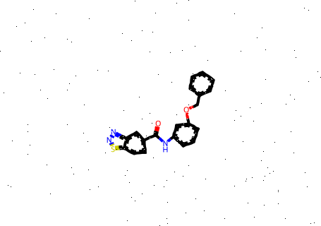 O=C(Nc1cccc(OCc2ccccc2)c1)c1ccc2snnc2c1